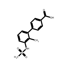 Cc1c(NS(C)(=O)=O)cccc1-c1ccc(C(=O)O)cc1